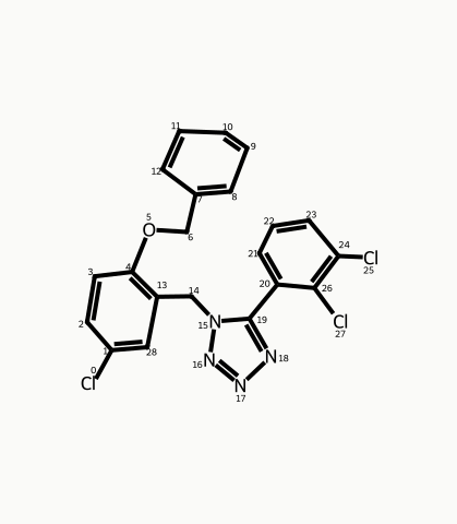 Clc1ccc(OCc2ccccc2)c(Cn2nnnc2-c2cccc(Cl)c2Cl)c1